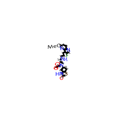 COc1ccc2ncc(F)c(CCCNC[C@@H]3CN(c4ccc5c(c4)NC(=O)CS5)C(=O)O3)c2n1